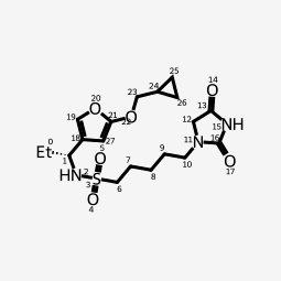 CC[C@@H](NS(=O)(=O)CCCCCN1CC(=O)NC1=O)c1coc(OCC2CC2)c1